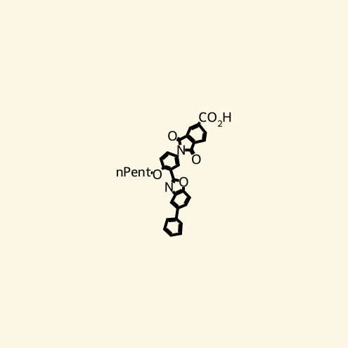 CCCCCOc1ccc(N2C(=O)c3ccc(C(=O)O)cc3C2=O)cc1-c1nc2cc(-c3ccccc3)ccc2o1